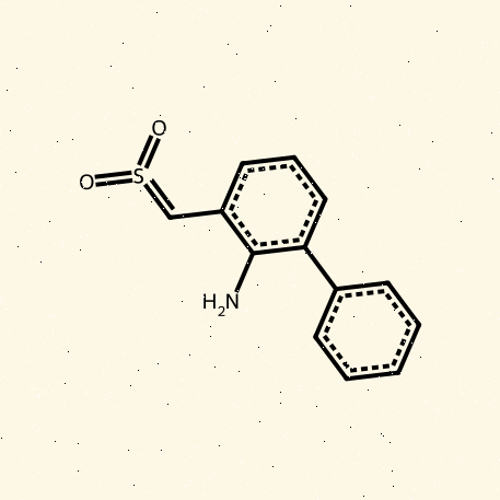 Nc1c(C=S(=O)=O)cccc1-c1ccccc1